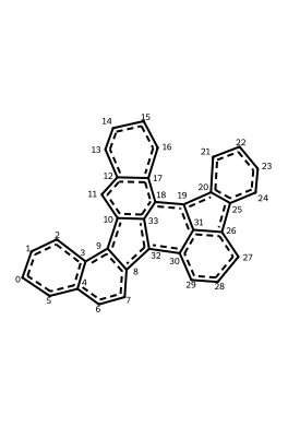 c1ccc2c(c1)ccc1c2c2cc3ccccc3c3c4c5ccccc5c5cccc(c54)c1c23